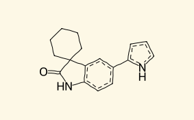 O=C1Nc2ccc(-c3ccc[nH]3)cc2C12CCCCC2